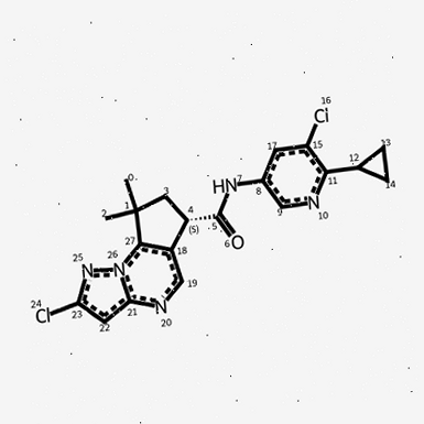 CC1(C)C[C@H](C(=O)Nc2cnc(C3CC3)c(Cl)c2)c2cnc3cc(Cl)nn3c21